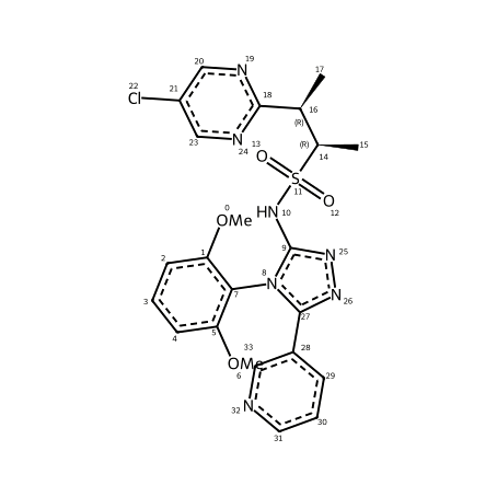 COc1cccc(OC)c1-n1c(NS(=O)(=O)[C@H](C)[C@H](C)c2ncc(Cl)cn2)nnc1-c1cccnc1